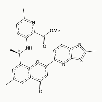 COC(=O)c1nc(C)ccc1N[C@H](C)c1cc(C)cc2c(=O)cc(-c3ccc4nc(C)sc4n3)oc12